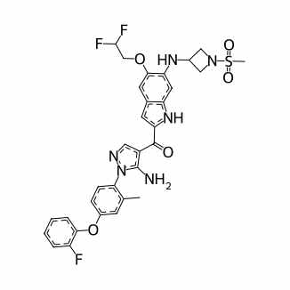 Cc1cc(Oc2ccccc2F)ccc1-n1ncc(C(=O)c2cc3cc(OCC(F)F)c(NC4CN(S(C)(=O)=O)C4)cc3[nH]2)c1N